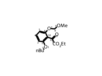 CCCCOc1cccc(OCOC)c1C(=O)C(=O)OCC